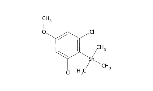 COc1cc(Cl)[c]([Sn]([CH3])([CH3])[CH3])c(Cl)c1